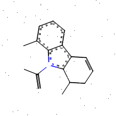 C=C(C)n1c2c(c3cccc(C)c31)C=CCC2C